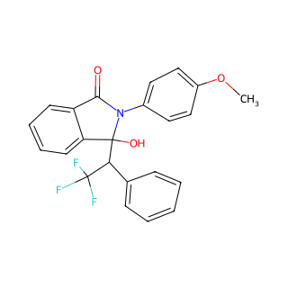 COc1ccc(N2C(=O)c3ccccc3C2(O)C(c2ccccc2)C(F)(F)F)cc1